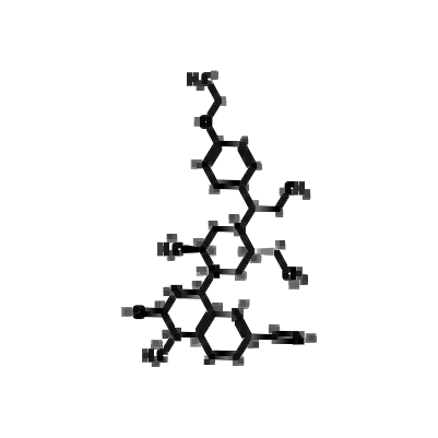 CCOc1ccc(C(CC)N2C[C@H](C)N(c3nc(=O)n(C)c4ccc(C#N)nc34)C[C@H]2CC)cc1